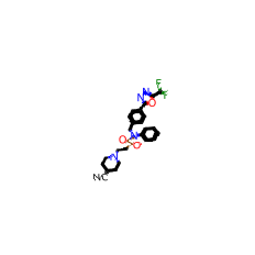 N#CC1CCN(CCS(=O)(=O)N(Cc2ccc(-c3nnc(C(F)F)o3)cc2)c2ccccc2)CC1